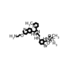 Cc1cccc(-c2nc(CNc3ccc(Br)c(C(=O)NS(=O)(=O)C(C)C)c3)[nH]c2-c2ccc3ncc(OCCN)cc3c2)n1